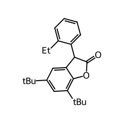 CCc1ccccc1C1C(=O)Oc2c1cc(C(C)(C)C)cc2C(C)(C)C